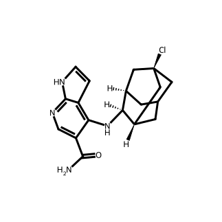 NC(=O)c1cnc2[nH]ccc2c1N[C@H]1[C@@H]2CC3C[C@H]1C[C@@](Cl)(C3)C2